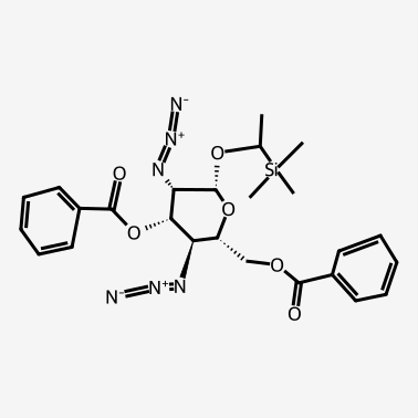 CC(O[C@@H]1O[C@H](COC(=O)c2ccccc2)[C@@H](N=[N+]=[N-])[C@H](OC(=O)c2ccccc2)[C@@H]1N=[N+]=[N-])[Si](C)(C)C